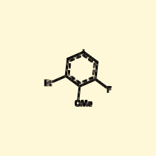 CCc1c[c]cc(F)c1OC